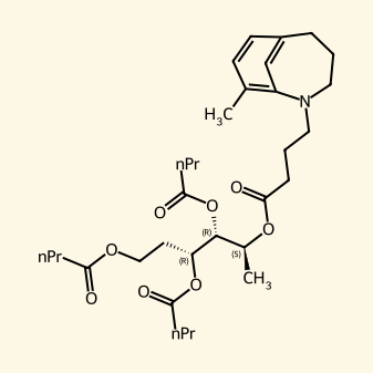 CCCC(=O)OCC[C@@H](OC(=O)CCC)[C@H](OC(=O)CCC)[C@H](C)OC(=O)CCCN1CCCc2ccc(C)c1c2